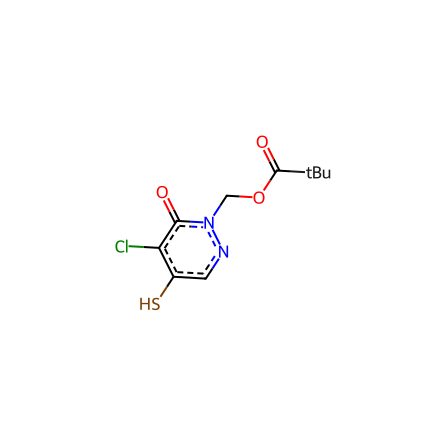 CC(C)(C)C(=O)OCn1ncc(S)c(Cl)c1=O